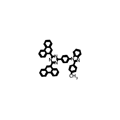 Cc1ccc(-c2nc3ccccc3n2-c2ccc(-c3nc(-c4cc5ccccc5c5ccccc45)nc(-c4cc5ccccc5c5ccccc45)n3)cc2)cc1